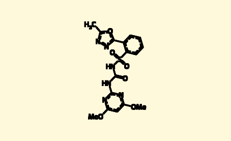 COc1cc(OC)nc(NC(=O)NS(=O)(=O)c2ccccc2-c2nnc(C)o2)n1